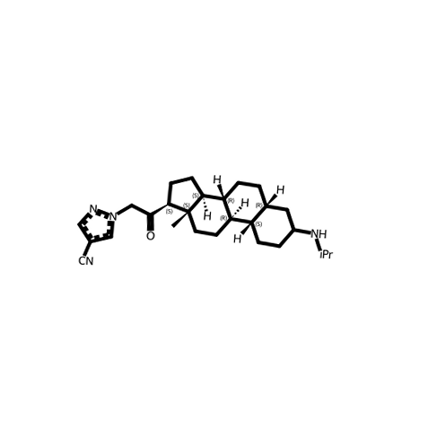 CC(C)NC1CC[C@H]2[C@H](CC[C@@H]3[C@@H]2CC[C@]2(C)[C@@H](C(=O)Cn4cc(C#N)cn4)CC[C@@H]32)C1